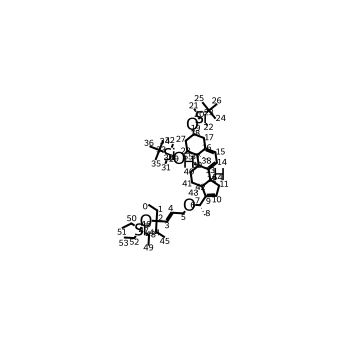 CCC(/C=C/CO[C@@H](C)C1=CC[C@H]2C3=CC=C4C[C@@H](O[Si](C)(C)C(C)(C)C)C[C@H](O[Si](C)(C)C(C)(C)C)[C@]4(C)[C@H]3CC[C@]12C)(CC)O[Si](CC)(CC)CC